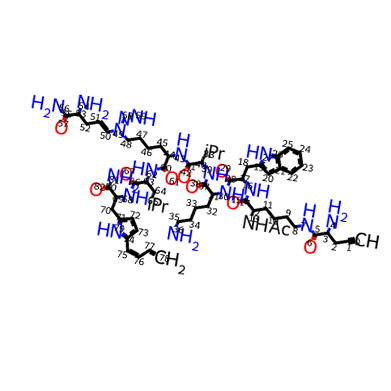 C#CCC(N)C(=O)NCCCCC(NC(C)=O)C(=O)NC(Cc1cc2ccccc2[nH]1)C(=O)NC(CCCCN)C(=O)NC(C(=O)NC(CCCCN(/C=C/CC(N)C(N)=O)N=N)C(=O)NC(CC(C)C)C(=O)NC(Cc1ccc(/C=C\C=C)[nH]1)C(N)=O)C(C)C